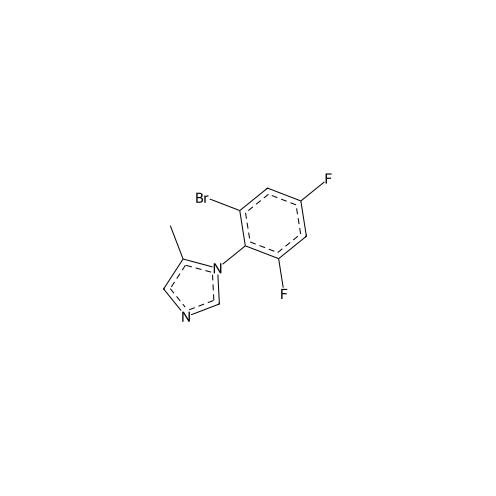 Cc1cncn1-c1c(F)cc(F)cc1Br